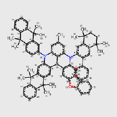 Cc1cc2c3c(c1)N(c1cc4c(cc1-c1ccccc1)C(C)(C)CCC4(C)C)c1cc4c(cc1B3c1cc3c(cc1N2c1ccc2c(c1)C(C)(C)c1ccccc1C2(C)C)C(C)(C)c1ccccc1C3(C)C)oc1ccccc14